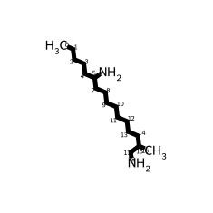 CCCCCC(N)CCCCCCCCC(C)CN